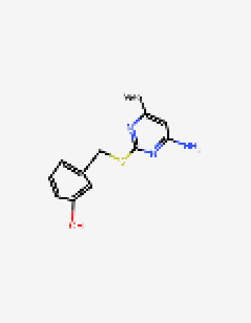 CSc1cc(N)nc(SCc2cccc(O)c2)n1